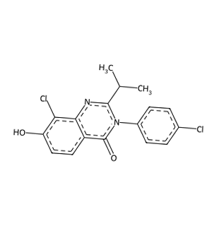 CC(C)c1nc2c(Cl)c(O)ccc2c(=O)n1-c1ccc(Cl)cc1